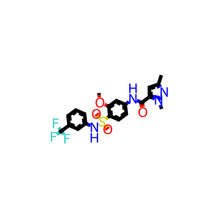 COc1cc(NC(=O)c2cc(C)nn2C)ccc1S(=O)(=O)Nc1cccc(C(F)(F)F)c1